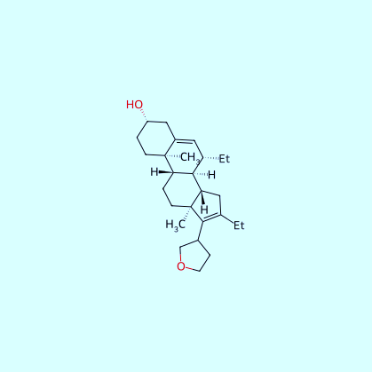 CCC1=C(C2CCOC2)[C@@]2(C)CC[C@H]3[C@@H]([C@@H](CC)C=C4C[C@@H](O)CC[C@@]43C)[C@@H]2C1